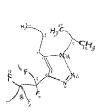 CCCc1c(C(F)(F)C(F)(F)F)nnn1C(C)C